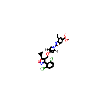 CCc1cc(C(=O)OC)cc2sc(N3C[C@@H]4C[C@H]3C[C@H]4OCc3c(-c4c(Cl)cccc4Cl)noc3C3CC3)nc12